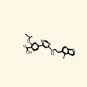 CC(C)Oc1cc(-c2cc(NCCc3ccc4sccc4c3F)ncn2)ccc1C(=O)O